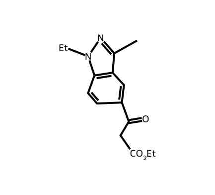 CCOC(=O)CC(=O)c1ccc2c(c1)c(C)nn2CC